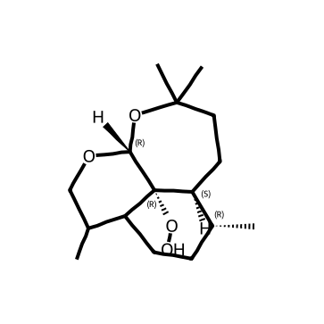 CC1CO[C@@H]2OC(C)(C)CC[C@H]3[C@H](C)CCC1[C@@]23OO